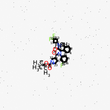 Cc1ccccc1C(C(=O)N(C)C1CC(F)(F)C1)N(C(=O)[C@H]1CCN(C(=O)OC(C)(C)C)C1)c1cccc(F)c1